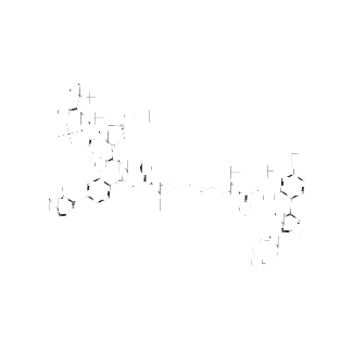 Cc1ncsc1-c1ccc([C@H](CC(=O)NCCCCCCNC(=O)COc2c(-c3csc(N4CCOCC4)n3)ccc(F)c2F)NC(=O)[C@@H]2C[C@@H](O)CN2C(=O)C(NC(=O)C2(F)CC2)C(C)(C)C)cc1